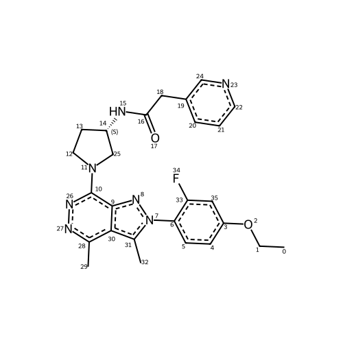 CCOc1ccc(-n2nc3c(N4CC[C@H](NC(=O)Cc5cccnc5)C4)nnc(C)c3c2C)c(F)c1